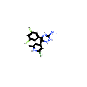 Cc1cc(-c2nnc(N)nc2-c2cc(F)cc(F)c2)cc(Cl)n1